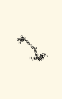 COc1cc(N2CCC(N3CCN(C(=O)CCOCCOCCOCCOCCNc4cccc5c4C(=O)N(C4CCC(=O)NC4=O)C5=O)CC3)CC2)ccc1Nc1ncnc(Nc2ccccc2S(=O)(=O)C(C)C)n1